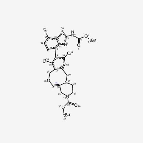 CC(C)(C)OC(=O)Nc1nc2c(-c3c(Cl)cc4c(c3Cl)CO/C=C3/CN(C(=O)OC(C)(C)C)CCN3C4)ccc(F)c2s1